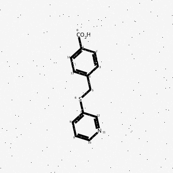 O=C(O)c1ccc(CSc2cccnc2)cc1